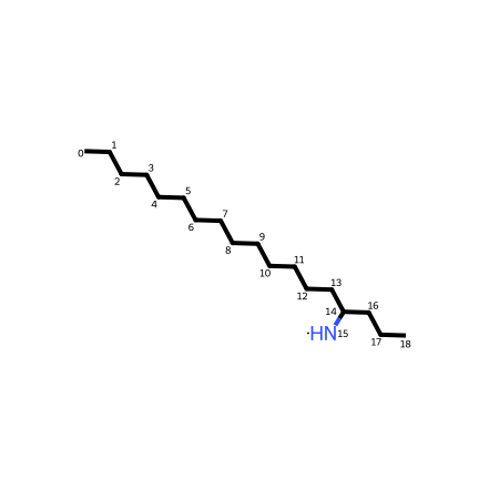 CCCCCCCCCCCCCCC([NH])CCC